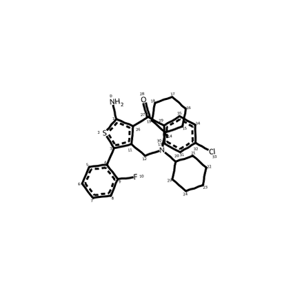 Nc1sc(-c2ccccc2F)c(CN(C2CCCCC2)C2CCCCC2)c1C(=O)c1ccc(Cl)cc1